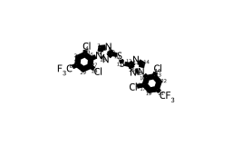 FC(F)(F)c1cc(Cl)c(-n2cnc(SSc3ncn(-c4c(Cl)cc(C(F)(F)F)cc4Cl)n3)n2)c(Cl)c1